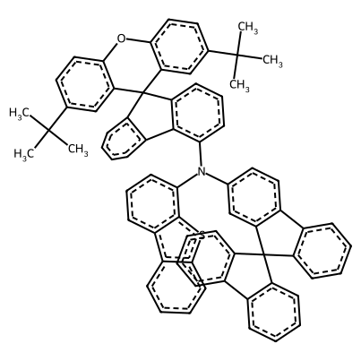 CC(C)(C)c1ccc2c(c1)C1(c3cc(C(C)(C)C)ccc3O2)c2ccccc2-c2c(N(c3ccc4c(c3)C3(c5ccccc5-c5ccccc53)c3ccccc3-4)c3cccc4c3sc3ccccc34)cccc21